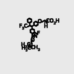 C[Si](C)(C)CCOCn1nc(F)c2cc(/C(=C(\CC(F)(F)F)c3ccccc3)c3ccc(OCCNC(=O)O)cc3)ccc21